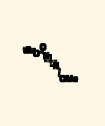 COCCN1CC2(C1)CN(C(=O)OC(C)(C)C)C2